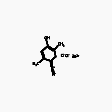 CC1=CC(O)=C(C)CC1=[N+]=[N-].[Cl-].[Cl-].[Zn+2]